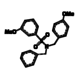 COc1ccc(CN(Cc2ccccc2)S(=O)(=O)c2cccc(OC)c2)cc1